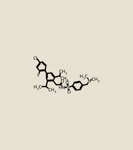 CC(C)c1cc(-c2ccc(Cl)cc2F)cc(C(C)C)c1CC(=O)NS(=O)(=O)c1ccc(CN(C)C)cc1